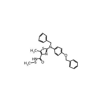 CSNC(=O)c1nc(N(Cc2ccccc2)c2ccc(OCc3ccccc3)cc2)sc1C